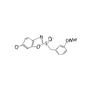 COc1cccc(C[S+]([O-])c2nc3ccc(Cl)cc3o2)c1